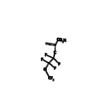 C=C(CC(F)(F)C(F)(F)OC(F)(F)F)C(=O)O